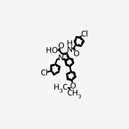 CC(C)Oc1ccc(-c2ccc3c(NC(=O)c4ccc(Cl)cc4)c(C(=O)O)n(Cc4cccc(Cl)c4)c3c2)cc1